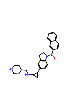 [O-][S+](c1ccc2ccccc2c1)N1CCc2cc(C3CC3NCC3CCNCC3)ccc21